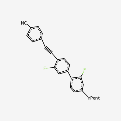 CCCCCc1ccc(-c2ccc(C#Cc3ccc(C#N)cc3)c(F)c2)c(F)c1